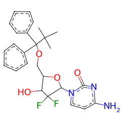 CC(C)(C)C(OCC1OC(n2ccc(N)nc2=O)C(F)(F)C1O)(c1ccccc1)c1ccccc1